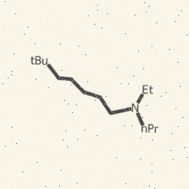 CCCN(CC)CCCCCC(C)(C)C